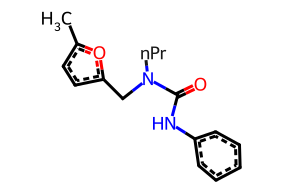 CCCN(Cc1ccc(C)o1)C(=O)Nc1ccccc1